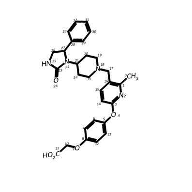 Cc1nc(Oc2ccc(OCC(=O)O)cc2)ccc1CN1CCC(N2C(=O)NCC2c2ccccc2)CC1